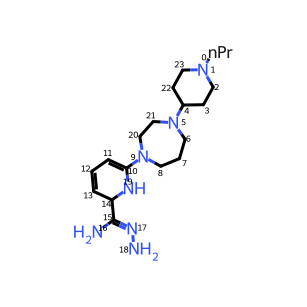 CCCN1CCC(N2CCCN(C3=CC=CC(C(N)=NN)N3)CC2)CC1